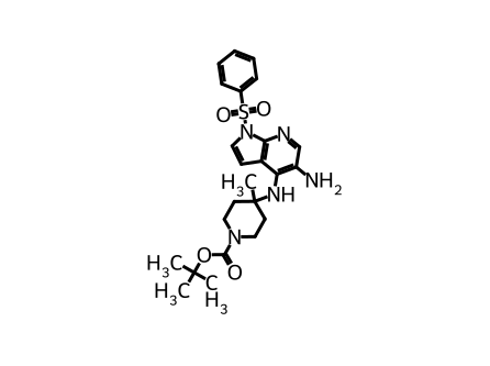 CC1(Nc2c(N)cnc3c2ccn3S(=O)(=O)c2ccccc2)CCN(C(=O)OC(C)(C)C)CC1